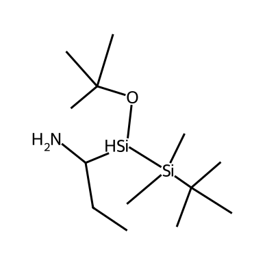 CCC(N)[SiH](OC(C)(C)C)[Si](C)(C)C(C)(C)C